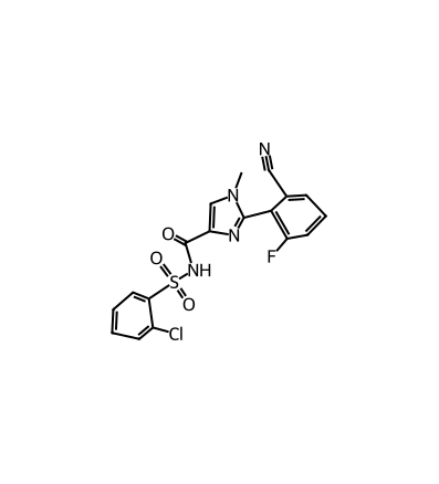 Cn1cc(C(=O)NS(=O)(=O)c2ccccc2Cl)nc1-c1c(F)cccc1C#N